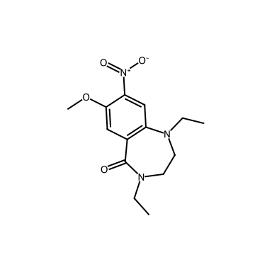 CCN1CCN(CC)c2cc([N+](=O)[O-])c(OC)cc2C1=O